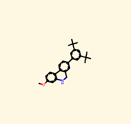 COc1ccc2c(c1)NCc1cc(-c3cc(C(C)(C)C)cc(C(C)(C)C)c3)ccc1-2